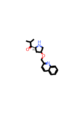 CC(C)C(=O)[C@@H]1CC(OCc2ccc3ccccc3n2)CN1